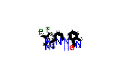 O=C1N=Cc2cccc(Nc3cccc(-c4nncn4C(CF)CF)n3)c21